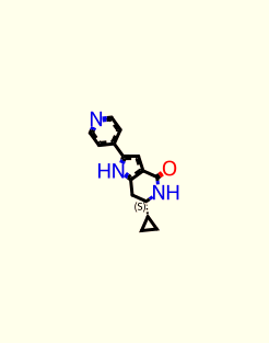 O=C1N[C@H](C2CC2)Cc2[nH]c(-c3ccncc3)cc21